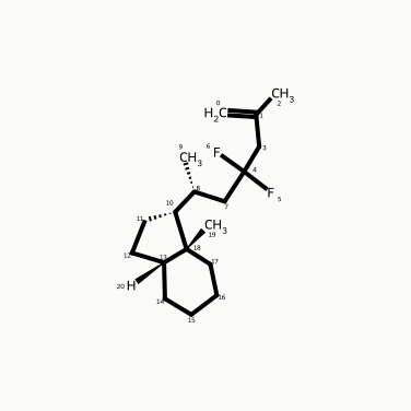 C=C(C)CC(F)(F)C[C@@H](C)[C@H]1CC[C@H]2CCCC[C@]21C